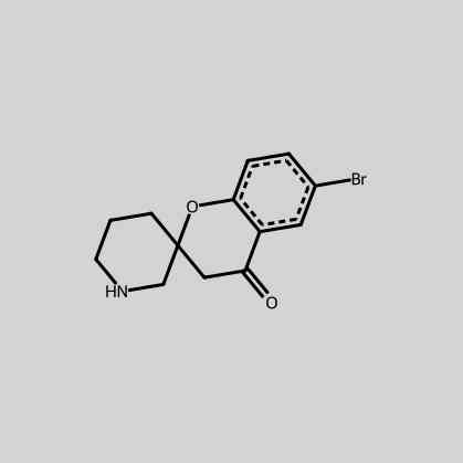 O=C1CC2(CCCNC2)Oc2ccc(Br)cc21